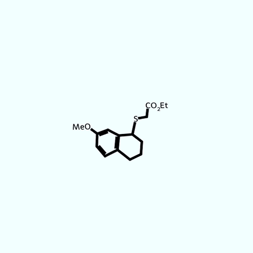 CCOC(=O)CSC1CCCc2ccc(OC)cc21